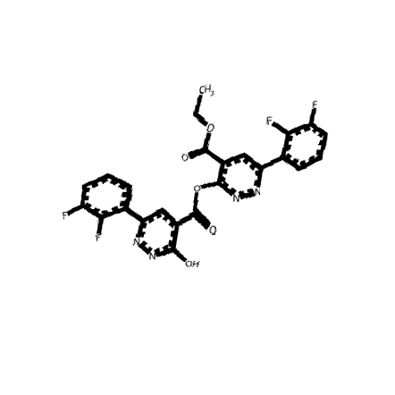 CCOC(=O)c1cc(-c2cccc(F)c2F)nnc1OC(=O)c1cc(-c2cccc(F)c2F)nnc1O